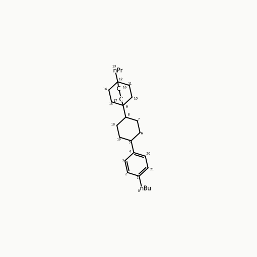 CCCCc1ccc(C2CCC(C34CCC(CCC)(CC3)CC4)CC2)cc1